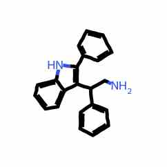 NCC(c1ccccc1)c1c(-c2ccccc2)[nH]c2ccccc12